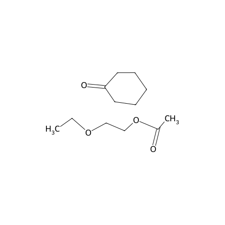 CCOCCOC(C)=O.O=C1CCCCC1